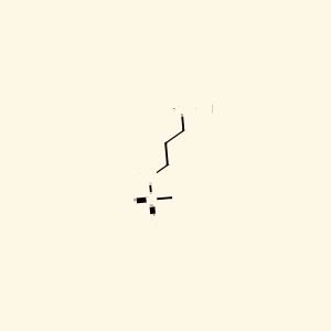 CS(=O)(=S)OCCCS(=O)(=O)O